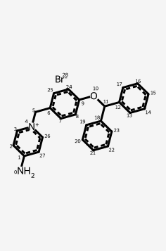 Nc1cc[n+](Cc2ccc(OC(c3ccccc3)c3ccccc3)cc2)cc1.[Br-]